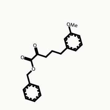 COc1cccc(CCCC(=O)C(=O)OCc2ccccc2)c1